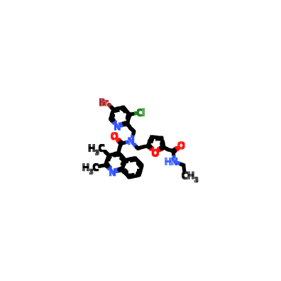 CCNC(=O)c1ccc(CN(Cc2ncc(Br)cc2Cl)C(=O)c2c(C)c(C)nc3ccccc23)o1